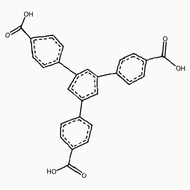 O=C(O)c1ccc(-c2cc(-c3ccc(C(=O)O)cc3)cc(-c3ccc(C(=O)O)cc3)c2)cc1